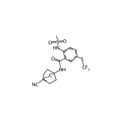 CS(=O)(=O)Nc1ccc(SC(F)(F)F)cc1C(=O)NC12CCC(C#N)(CC1)CC2